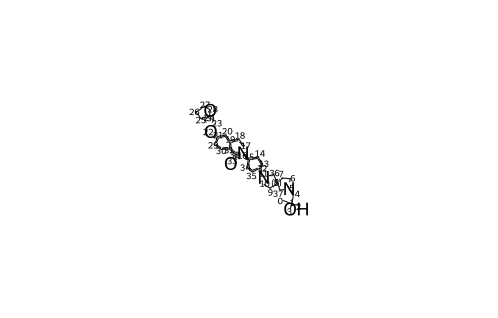 CC(C)(O)CN1CC[C@]2(CCN(c3ccc(-n4ccc5cc(OC[C@@H]6CCCO6)ccc5c4=O)cc3)C2)C1